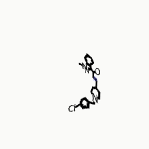 Cn1nc(C(=O)/C=C/C2CCN(Cc3ccc(Cl)cc3)CC2)c2ccccc21